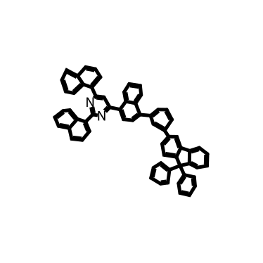 c1ccc(C2(c3ccccc3)c3ccccc3-c3cc(-c4cccc(-c5ccc(-c6cc(-c7cccc8ccccc78)nc(-c7cccc8ccccc78)n6)c6ccccc56)c4)ccc32)cc1